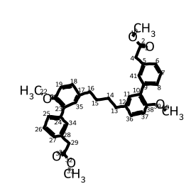 COC(=O)Cc1cccc(-c2cc(CCCCc3ccc(OC)c(-c4cccc(CC(=O)OC)c4)c3)ccc2OC)c1